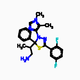 Cc1c(N2N=C(c3cc(F)ccc3F)SC2(c2ccccc2)C(C)CN)ncn1C